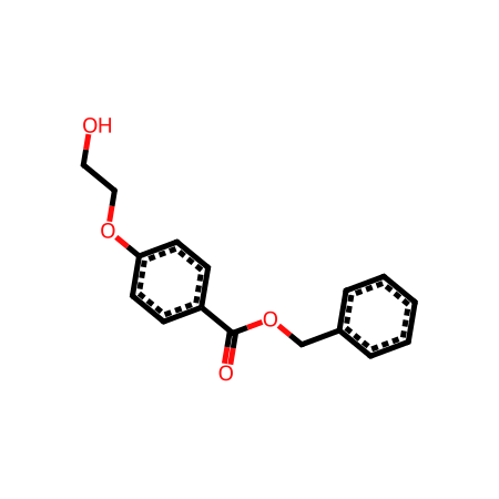 O=C(OCc1ccccc1)c1ccc(OCCO)cc1